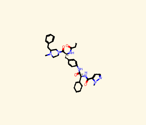 CCC(=O)N[C@H](Cc1ccc(NC(=O)[C@@H](NC(=O)c2ccnn2C)C2CCCCC2)cc1)C(=O)N1CCN(C)C(Cc2ccccc2)C1